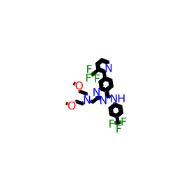 COCCN(CCOC)Cc1nc(Nc2ccc(C(F)(F)F)cc2)c2ccc(-c3ncccc3C(F)(F)F)cc2n1